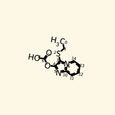 CCSc1c(OC(=O)O)nc2ccccn12